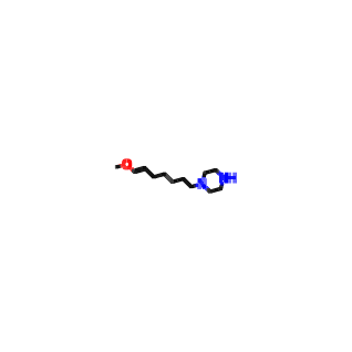 COC=CCCCCCN1CCNCC1